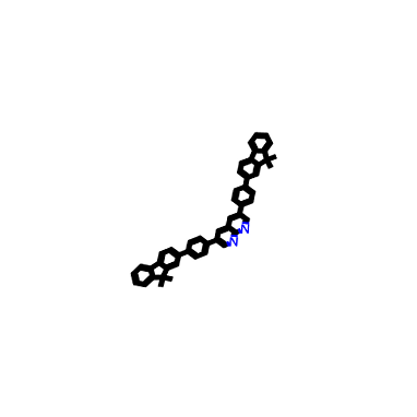 CC1(C)c2ccccc2-c2ccc(-c3ccc(-c4cnc5ncc(-c6ccc(-c7ccc8c(c7)C(C)(C)c7ccccc7-8)cc6)cc5c4)cc3)cc21